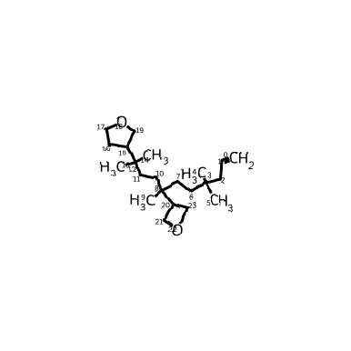 C=CCC(C)(C)CCC(C)(CCC(C)(C)C1CCOC1)C1COC1